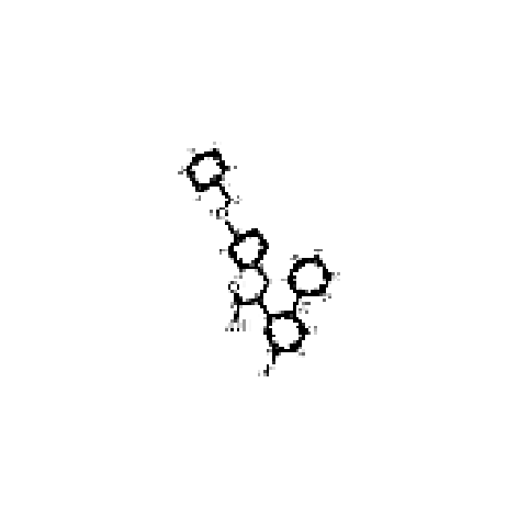 O=C(O)C(Cc1ccc(OCc2ccccc2)cc1)c1cc(F)ccc1-c1ccccc1